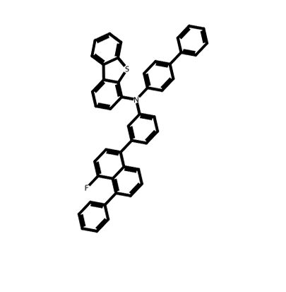 Fc1ccc(-c2cccc(N(c3ccc(-c4ccccc4)cc3)c3cccc4c3sc3ccccc34)c2)c2cccc(-c3ccccc3)c12